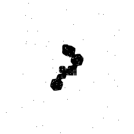 O=C(C=Cc1ccccc1)NCCc1cccc(N2CC3CC2CO3)c1